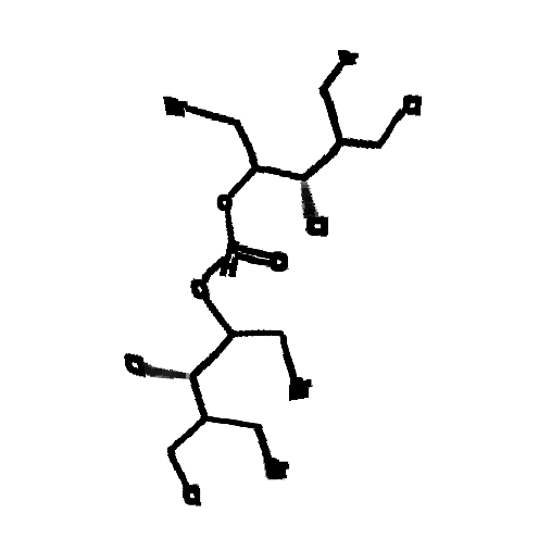 O=[PH](OC(CBr)[C@@H](Cl)C(CCl)CBr)OC(CBr)[C@@H](Cl)C(CCl)CBr